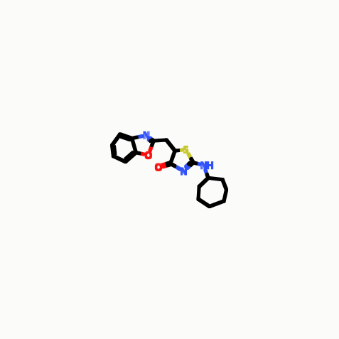 O=C1N=C(NC2CCCCCC2)SC1Cc1nc2ccccc2o1